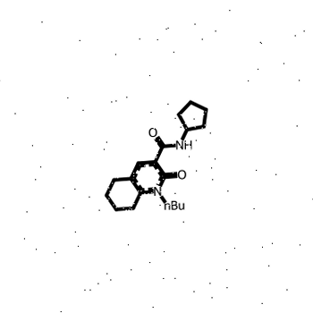 CCCCn1c2c(cc(C(=O)NC3CCCC3)c1=O)CCCC2